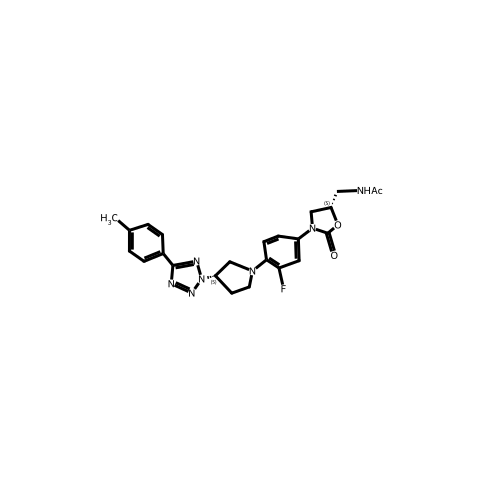 CC(=O)NC[C@H]1CN(c2ccc(N3CC[C@H](n4nnc(-c5ccc(C)cc5)n4)C3)c(F)c2)C(=O)O1